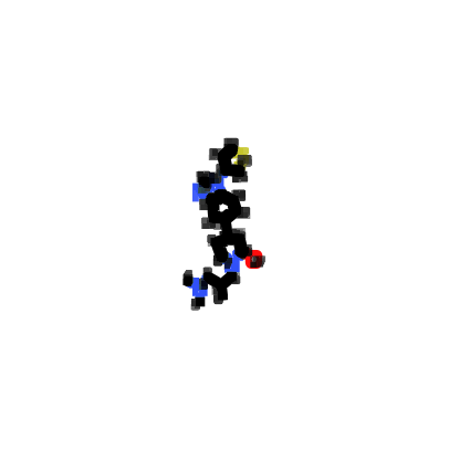 CC(CN(C)C)Cn1ccc(-c2ccc3c(c2)ncn3-c2ccsc2)cc1=O